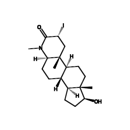 CN1C(=O)[C@H](I)C[C@]2(C)[C@H]3CC[C@]4(C)[C@@H](O)CC[C@H]4[C@@H]3CC[C@@H]12